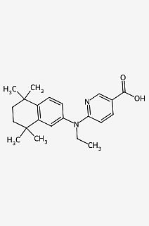 CCN(c1ccc2c(c1)C(C)(C)CCC2(C)C)c1ccc(C(=O)O)cn1